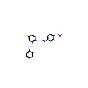 CC(=O)Nc1ccc(/C=N/Nc2ccc([N+](=O)O)cc2SNc2ccccc2Cl)cc1